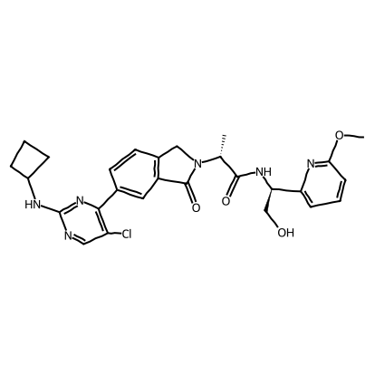 COc1cccc([C@@H](CO)NC(=O)[C@@H](C)N2Cc3ccc(-c4nc(NC5CCC5)ncc4Cl)cc3C2=O)n1